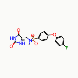 CN(C[C@@H]1NC(=O)NC1=O)S(=O)(=O)c1ccc(Oc2ccc(F)cc2)cc1